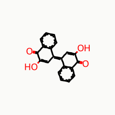 O=C1C(O)=C/C(=C2/C=C(O)C(=O)c3ccccc32)c2ccccc21